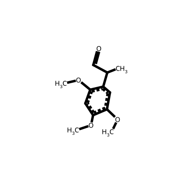 COc1cc(OC)c(C(C)C=O)cc1OC